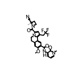 COc1cc2c(cc1C(=O)Nc1cccn(C)c1=O)-c1c(CC(F)(F)F)cc(C(=O)N3CC[C@]3(C)C#N)n1CC2